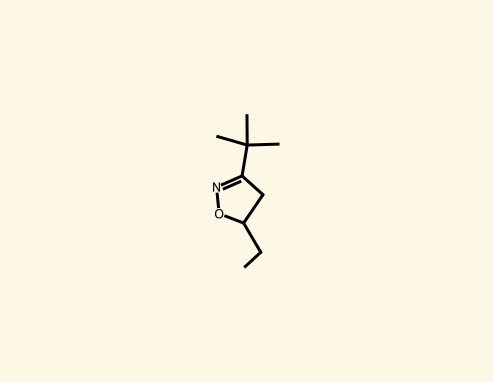 CCC1CC(C(C)(C)C)=NO1